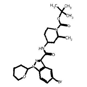 CC1CC(NC(=O)c2nn(C3CCCCO3)c3ccc(Br)cc23)CCN1C(=O)OC(C)(C)C